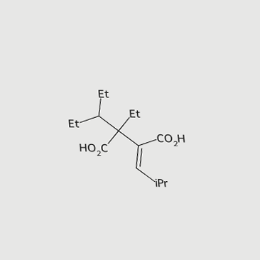 CCC(CC)C(CC)(C(=O)O)C(=CC(C)C)C(=O)O